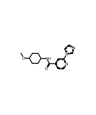 COC1CCC(NC(=O)c2ccnc(-n3ccnc3)c2)CC1